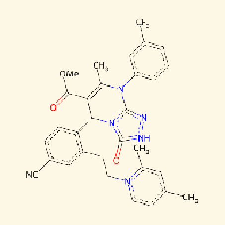 COC(=O)C1=C(C)N(c2cccc(C(F)(F)F)c2)c2n[nH]c(=O)n2[C@@H]1c1ccc(C#N)cc1CC[n+]1ccc(C)cc1C